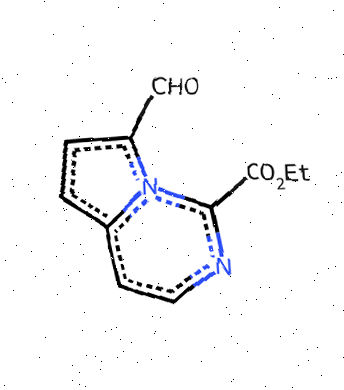 CCOC(=O)c1nccc2ccc(C=O)n12